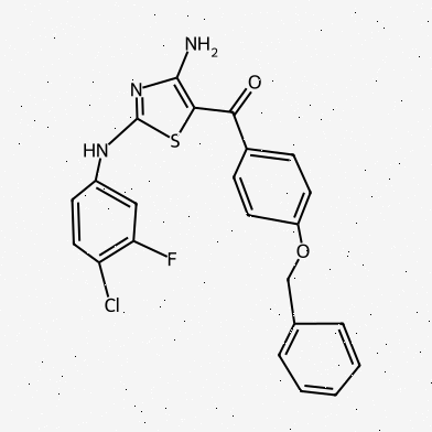 Nc1nc(Nc2ccc(Cl)c(F)c2)sc1C(=O)c1ccc(OCc2ccccc2)cc1